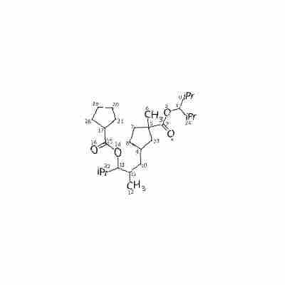 CC(C)C(OC(=O)C1(C)CCC(CC(C)C(OC(=O)C2CCCC2)C(C)C)C1)C(C)C